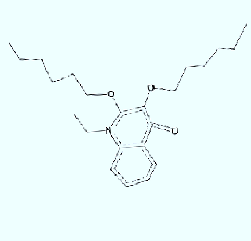 CCCCCCOc1c(OCCCCCC)n(CC)c2ccccc2c1=O